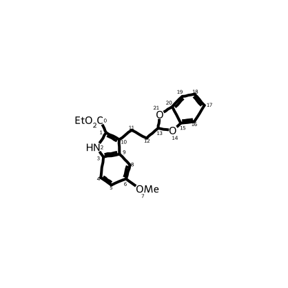 CCOC(=O)c1[nH]c2ccc(OC)cc2c1CCC1Oc2ccccc2O1